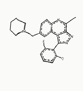 Cc1nc2ccc(CN3CCCCC3)cc2n2c(-c3c(F)cccc3Cl)nnc12